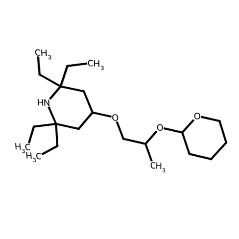 CCC1(CC)CC(OCC(C)OC2CCCCO2)CC(CC)(CC)N1